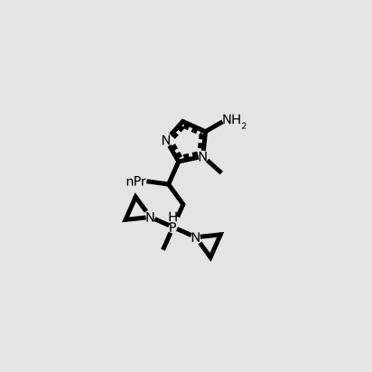 CCCC(C[PH](C)(N1CC1)N1CC1)c1ncc(N)n1C